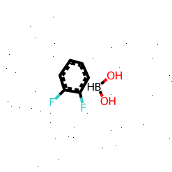 Fc1ccccc1F.OBO